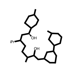 CC1CCC([C@@H](O)CC(CCC(C)C(O)CC2CCCC(C3CCCC(C)C3)C2)C(C)C)CC1